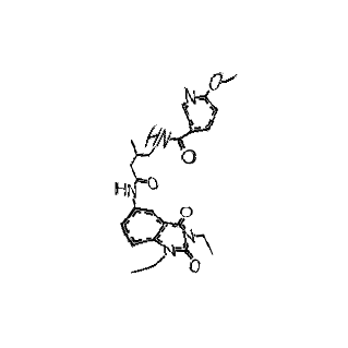 CCn1c(=O)c2cc(NC(=O)CC(C)CNC(=O)c3ccc(OC)nc3)ccc2n(CC)c1=O